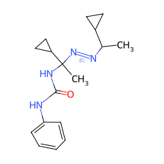 CC(/N=N/C(C)(NC(=O)Nc1ccccc1)C1CC1)C1CC1